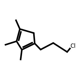 CC1=C(C)C(C)=C(CCCCl)C1